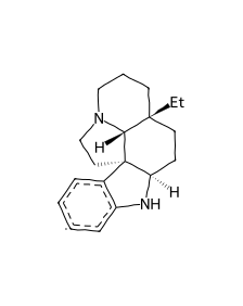 CC[C@@]12CCCN3CC[C@]4(c5cc[c]cc5N[C@@H]4CC1)[C@H]32